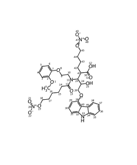 COc1ccccc1OCCN(C(=O)CCCCCO[N+](=O)[O-])C(C(O)COc1cccc2[nH]c3ccccc3c12)C(CCCCO[N+](=O)[O-])C(=O)O